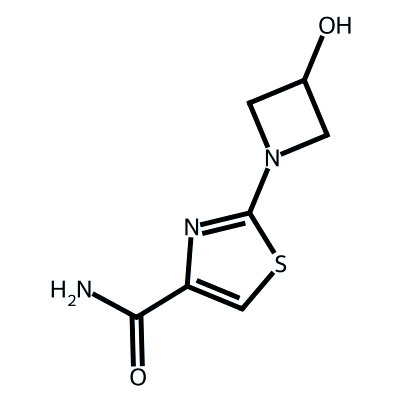 NC(=O)c1csc(N2CC(O)C2)n1